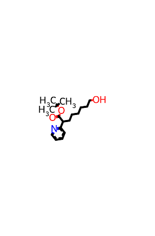 CC(C)(C)OC(=O)C(CCCCCCO)c1ccccn1